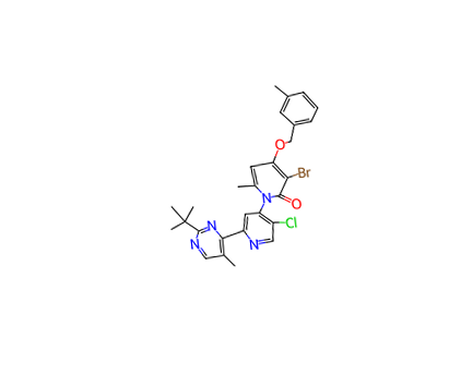 Cc1cccc(COc2cc(C)n(-c3cc(-c4nc(C(C)(C)C)ncc4C)ncc3Cl)c(=O)c2Br)c1